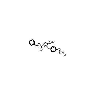 COc1ccc(C[C@H]2C(O)CN2C(=O)OCc2ccccc2)cc1